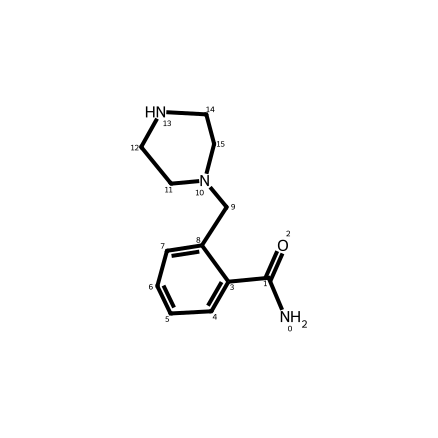 NC(=O)c1ccccc1CN1CCNCC1